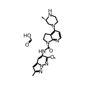 COc1nn2nc(C)cc2cc1NC(=O)N1CCc2c(N3CCN[C@H](C)C3)ccnc21.O=CO